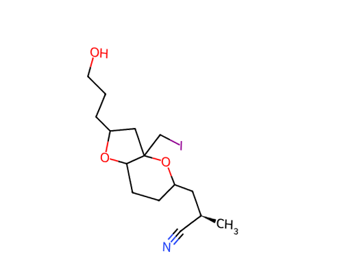 C[C@@H](C#N)CC1CCC2OC(CCCO)CC2(CI)O1